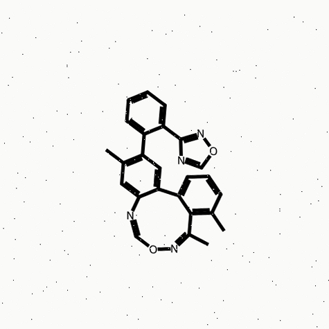 Cc1cc2nconc(C)c3c(C)cccc3c2cc1-c1ccccc1-c1ncon1